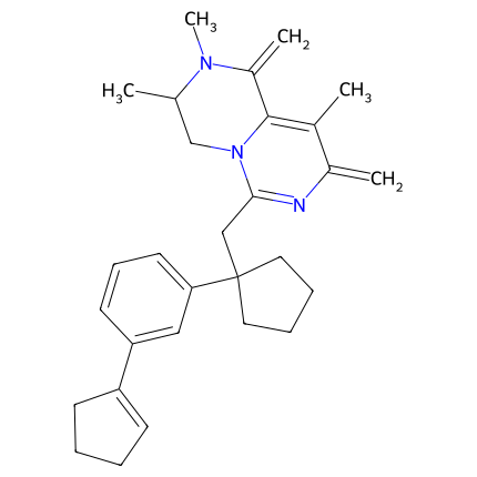 C=C1N=C(CC2(c3cccc(C4=CCCC4)c3)CCCC2)N2CC(C)N(C)C(=C)C2=C1C